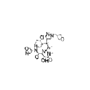 C[C@H](c1nc(C(=O)Nc2cnoc2)c(O)c(=O)n1C)[C@H](c1cnn(CC2COC2)c1)c1ccccc1Cl